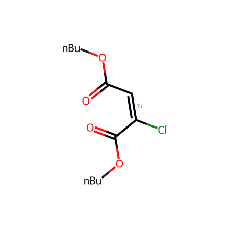 CCCCOC(=O)/C=C(/Cl)C(=O)OCCCC